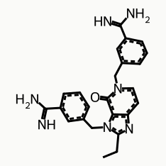 CCc1nc2ccn(Cc3cccc(C(=N)N)c3)c(=O)c2n1Cc1cccc(C(=N)N)c1